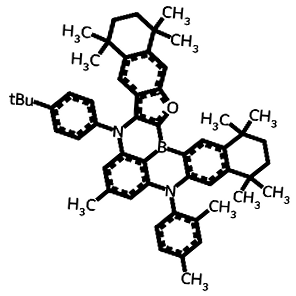 Cc1ccc(N2c3cc4c(cc3B3c5oc6cc7c(cc6c5N(c5ccc(C(C)(C)C)cc5)c5cc(C)cc2c53)C(C)(C)CCC7(C)C)C(C)(C)CCC4(C)C)c(C)c1